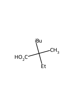 CCC(C)C(C)(CC)C(=O)O